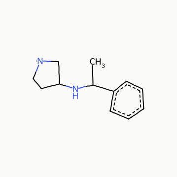 CC(NC1CC[N]C1)c1ccccc1